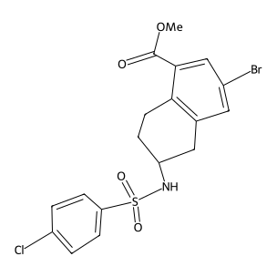 COC(=O)c1cc(Br)cc2c1CCC(NS(=O)(=O)c1ccc(Cl)cc1)C2